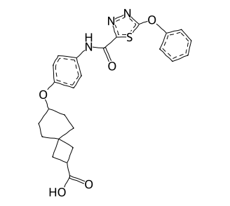 O=C(Nc1ccc(OC2CCC3(CC2)CC(C(=O)O)C3)cc1)c1nnc(Oc2ccccc2)s1